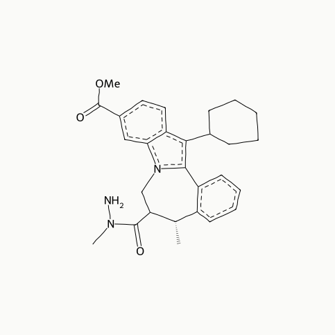 COC(=O)c1ccc2c(C3CCCCC3)c3n(c2c1)CC(C(=O)N(C)N)[C@@H](C)c1ccccc1-3